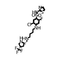 O=S(=O)(Nc1nccs1)c1cc(Cl)c(NCCCCNC[C@@H]2C[C@H](C(F)(F)F)CN2)cc1F